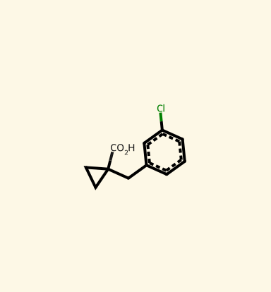 O=C(O)C1(Cc2cccc(Cl)c2)CC1